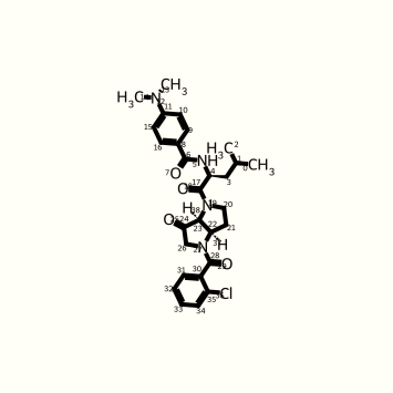 CC(C)C[C@H](NC(=O)c1ccc(N(C)C)cc1)C(=O)N1CC[C@@H]2[C@H]1C(=O)CN2C(=O)c1ccccc1Cl